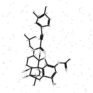 CC(=O)Oc1cc(O)c2c3c1O[C@H]1[C@H](N(CC(C)C)C(=O)C#Cc4ccc(C)c(C)c4)CC[C@H]4[C@@H](C2)N(C)CC[C@@]341